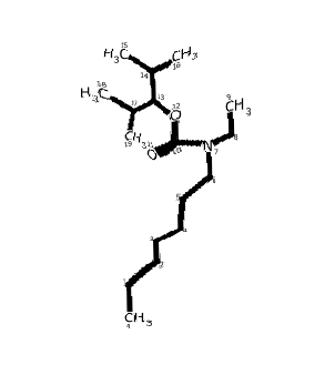 CCCCCCCN(CC)C(=O)OC(C(C)C)C(C)C